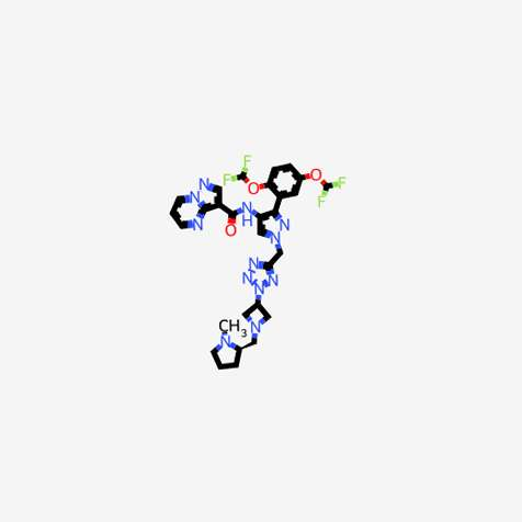 CN1CCC[C@@H]1CN1CC(n2nnc(Cn3cc(NC(=O)c4cnn5cccnc45)c(-c4cc(OC(F)F)ccc4OC(F)F)n3)n2)C1